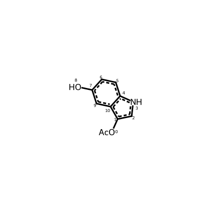 CC(=O)Oc1c[nH]c2ccc(O)cc12